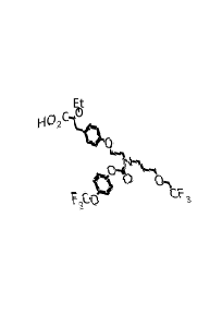 CCOC(Cc1ccc(OCCN(CCCOCC(F)(F)F)C(=O)Oc2ccc(OC(F)(F)F)cc2)cc1)C(=O)O